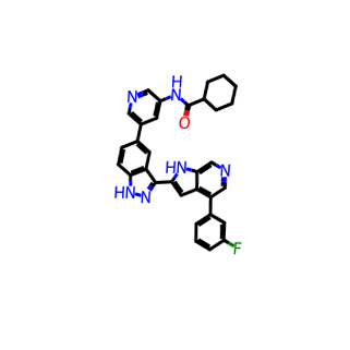 O=C(Nc1cncc(-c2ccc3[nH]nc(-c4cc5c(-c6cccc(F)c6)cncc5[nH]4)c3c2)c1)C1CCCCC1